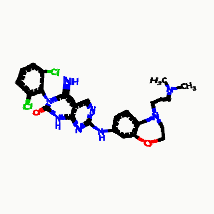 CN(C)CCN1CCOc2cc(Nc3ncc4c(=N)n(-c5c(Cl)cccc5Cl)c(=O)[nH]c4n3)ccc21